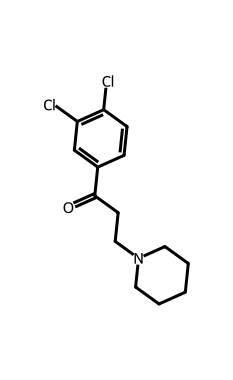 O=C(CCN1CCCCC1)c1ccc(Cl)c(Cl)c1